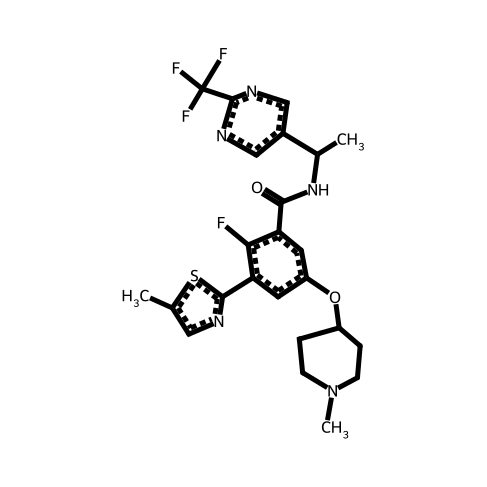 Cc1cnc(-c2cc(OC3CCN(C)CC3)cc(C(=O)NC(C)c3cnc(C(F)(F)F)nc3)c2F)s1